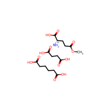 COC(=O)CC[C@H](N)C(=O)O.O=C(O)CCC(=O)O.O=C(O)CCCCC(=O)O